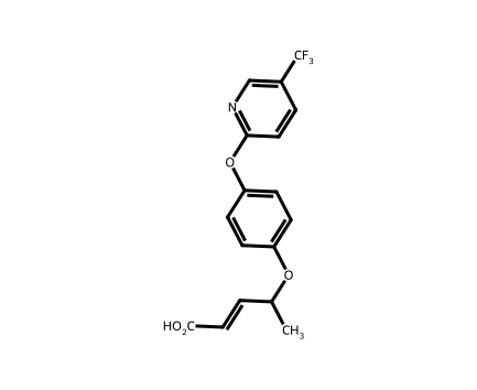 CC(/C=C/C(=O)O)Oc1ccc(Oc2ccc(C(F)(F)F)cn2)cc1